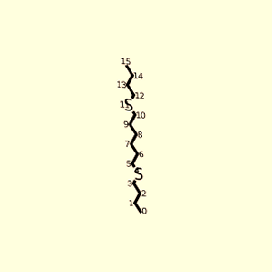 CCCCSCCCCCCSCCCC